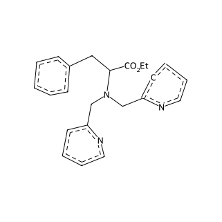 CCOC(=O)C(Cc1ccccc1)N(Cc1ccccn1)Cc1ccccn1